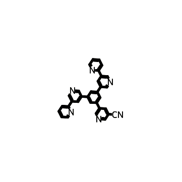 N#Cc1cncc(-c2cc(-c3cncc(-c4ccccn4)c3)cc(-c3cncc(-c4ccccn4)c3)c2)c1